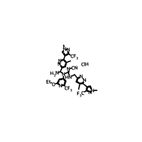 CCOc1cc(N(C(=NC#N)NCc2cc(C)c(-c3cn(C)nc3C(F)(F)F)nn2)C(N)c2cc(C)c(-c3cn(C)nc3C(F)(F)F)nn2)cc(C(F)(F)F)n1.Cl